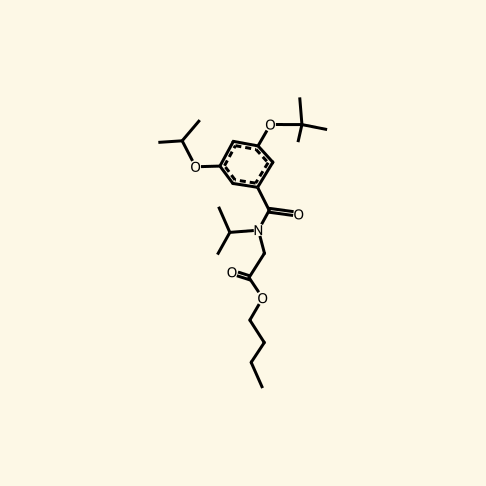 CCCCOC(=O)CN(C(=O)c1cc(OC(C)C)cc(OC(C)(C)C)c1)C(C)C